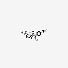 [C-]#[N+]c1ccc(NC(=O)C2(C)CN=C(C)O2)cc1